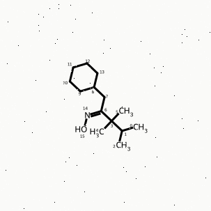 CC(C)C(C)(C)C(CC1CCCCC1)=NO